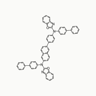 c1ccc(-c2ccc(N(c3ccc(-c4ccc5cc(N(c6ccc(-c7ccccc7)cc6)c6nc7ccccc7o6)ccc5c4)cc3)c3nc4ccccc4o3)cc2)cc1